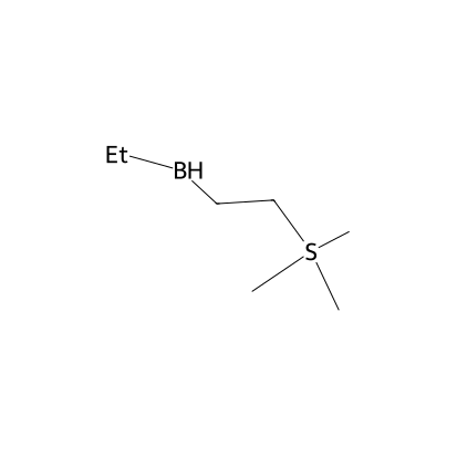 CCBCCS(C)(C)C